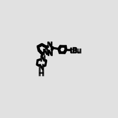 CC(C)(C)c1ccc(-c2nc3cccc(N4CCNCC4)n3n2)cc1